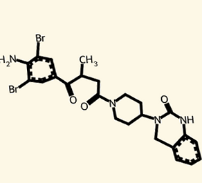 CC(CC(=O)N1CCC(N2Cc3ccccc3NC2=O)CC1)C(=O)c1cc(Br)c(N)c(Br)c1